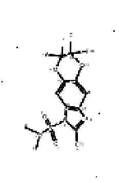 CN(C)S(=O)(=O)n1c(C#N)nc2cc3c(cc21)OC(F)(F)C(F)(F)O3